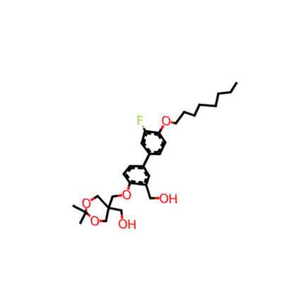 CCCCCCCCOc1ccc(-c2ccc(OCC3(CO)COC(C)(C)OC3)c(CO)c2)cc1F